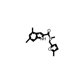 Cc1cc(C)c2cc(C(=O)N(C)Cc3ccc(C)o3)[nH]c2c1